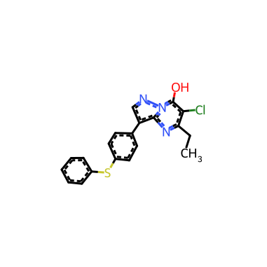 CCc1nc2c(-c3ccc(Sc4ccccc4)cc3)cnn2c(O)c1Cl